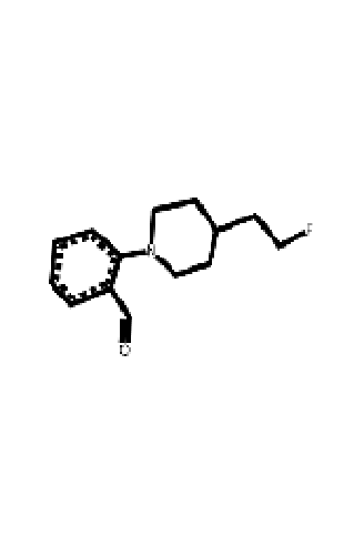 O=Cc1ccccc1N1CCC(CCF)CC1